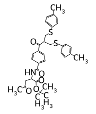 CC(=O)CC(NC(=O)c1ccc(C(=O)C(CSc2ccc(C)cc2)CSc2ccc(C)cc2)cc1)C(=O)OC(C)(C)C